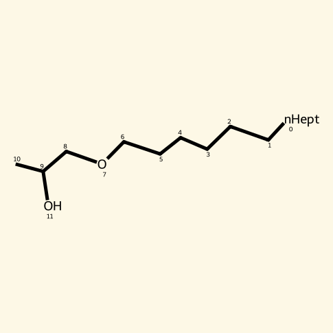 CCCCCCCCCCCCCOCC(C)O